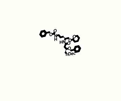 CCCCCCCCCCC[C@H](CC(=O)N[C@H](CCCNC(=O)OCc1ccccc1)COC1CCCCO1)OCc1ccccc1